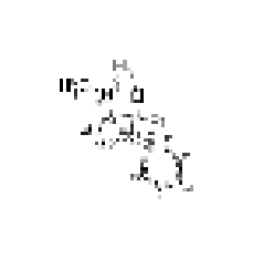 CCC(Cl)(C(=O)N(C)C)[S+]([O-])c1ccccc1